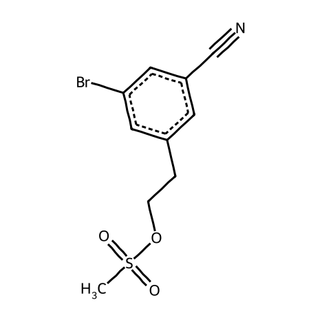 CS(=O)(=O)OCCc1cc(Br)cc(C#N)c1